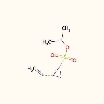 C=C[C@H]1C[C@H]1S(=O)(=O)OC(C)C